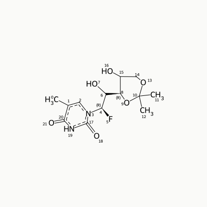 Cc1cn([C@H](F)C(O)[C@@H]2OC(C)(C)OCC2O)c(=O)[nH]c1=O